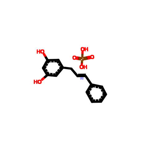 O=S(=O)(O)O.Oc1cc(O)cc(C/C=C/c2ccccc2)c1